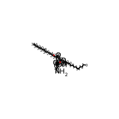 CCCC/C=C\CCCCCCCC(=O)O[C@H](COC(=O)CCCCCCCCCCCCCCC)COP(=O)(O)OCCN